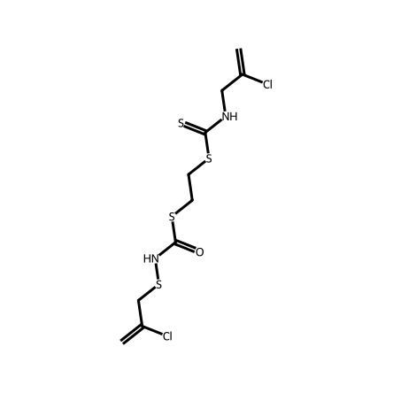 C=C(Cl)CNC(=S)SCCSC(=O)NSCC(=C)Cl